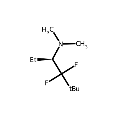 CC[C@@H](N(C)C)C(F)(F)C(C)(C)C